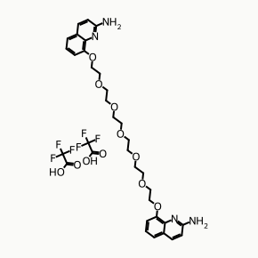 Nc1ccc2cccc(OCCOCCOCCOCCOCCOCCOc3cccc4ccc(N)nc34)c2n1.O=C(O)C(F)(F)F.O=C(O)C(F)(F)F